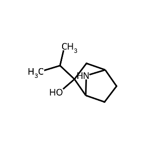 CC(C)C1(O)CC2CCC1N2